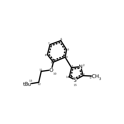 Cc1nc(-c2ccccc2OCCC(C)(C)C)cs1